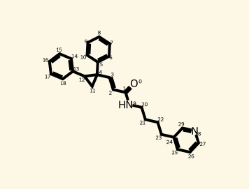 O=C(C=CC1(c2ccccc2)CC1c1ccccc1)NCCCCc1cccnc1